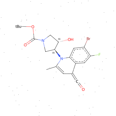 CC1=CC(=C=O)c2cc(F)c(Br)cc2N1[C@H]1CN(C(=O)OC(C)(C)C)C[C@@H]1O